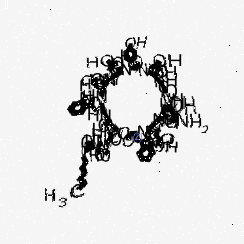 CCCCCCC[C@H]1O[C@@H]1C(=O)N[C@@H](CO)C(=O)N[C@@H]1C(=O)N[C@H](Cc2c[nH]c3ccccc23)C(=O)N[C@@H](CC(=O)O)C(=O)N[C@@H](CC(=O)O)C(=O)N[C@H](c2ccc(O)cc2)C(=O)N[C@@H](CC(=O)O)C(O)NCC(=O)N[C@H]([C@H](O)C(N)=O)C(=O)N[C@H](CCC(=O)O)C(=O)N/C(=C\c2c[nH]c3ccccc23)C(=O)O[C@@H]1C